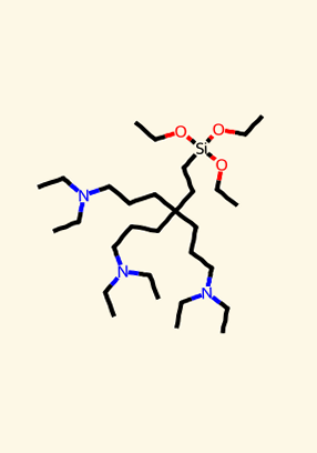 CCO[Si](CCC(CCCN(CC)CC)(CCCN(CC)CC)CCCN(CC)CC)(OCC)OCC